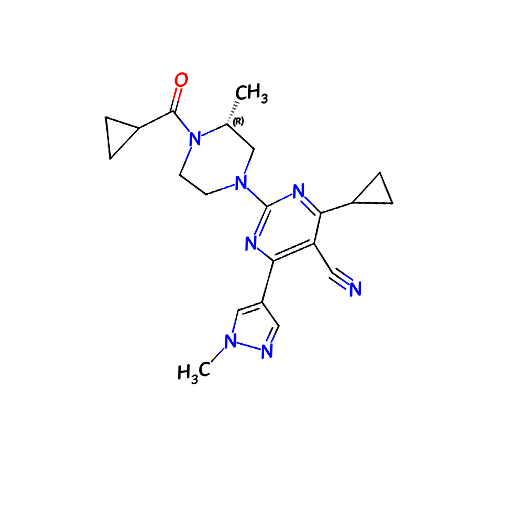 C[C@@H]1CN(c2nc(-c3cnn(C)c3)c(C#N)c(C3CC3)n2)CCN1C(=O)C1CC1